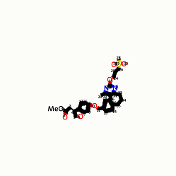 COC(=O)C[C@@H]1COc2cc(OCc3ccc4c(c3)-c3c(C)nc(OCCCS(C)(=O)=O)nc3CCC4)ccc21